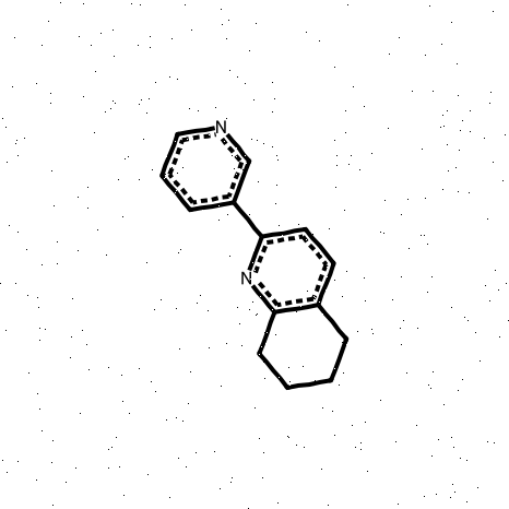 c1cncc(-c2ccc3c(n2)CCCC3)c1